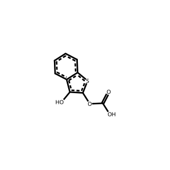 O=C(O)Oc1sc2ccccc2c1O